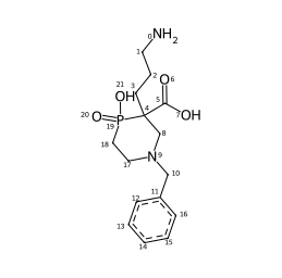 NCCCC1(C(=O)O)CN(Cc2ccccc2)CCP1(=O)O